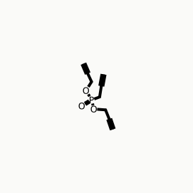 C#CCOP(=O)(CC#C)OCC#C